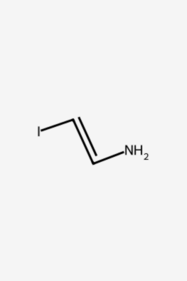 N/C=C/I